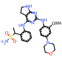 COc1cc(N2CCOCC2)ccc1Nc1nc2c(c(Nc3ccccc3C(C)S(N)(=O)=O)n1)CCN2